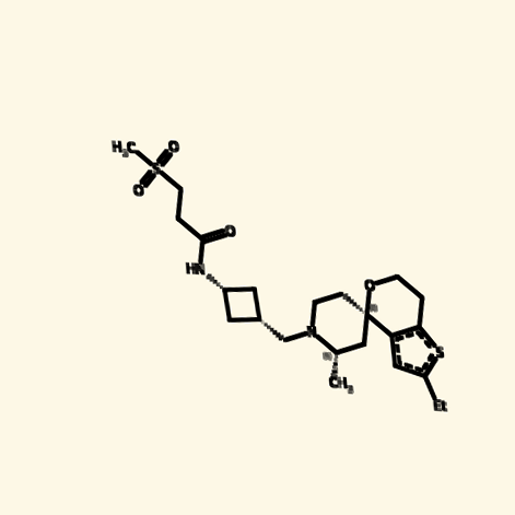 CCc1cc2c(s1)CCO[C@@]21CCN(C[C@H]2C[C@@H](NC(=O)CCS(C)(=O)=O)C2)[C@@H](C)C1